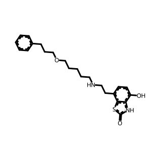 O=c1[nH]c2c(O)ccc(CCNCCCCCOCCCc3ccccc3)c2s1